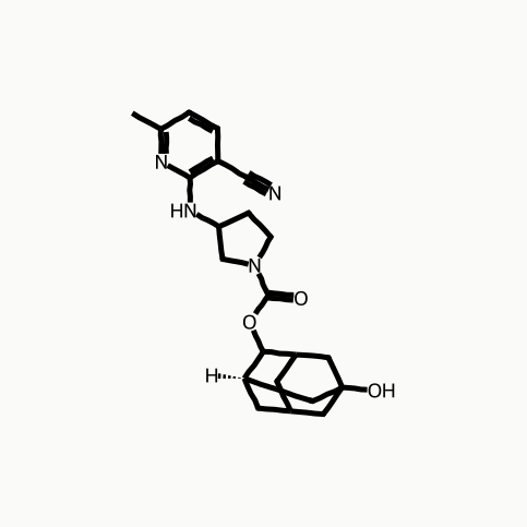 Cc1ccc(C#N)c(NC2CCN(C(=O)OC3C4CC5C[C@@H]3CC(O)(C5)C4)C2)n1